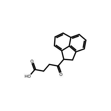 O=C(O)CCC(=O)C1Cc2cccc3cccc1c23